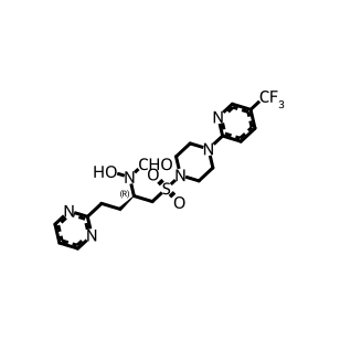 O=CN(O)[C@H](CCc1ncccn1)CS(=O)(=O)N1CCN(c2ccc(C(F)(F)F)cn2)CC1